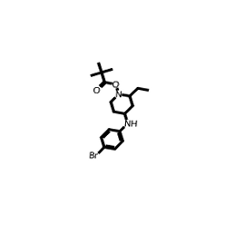 CCC1CC(Nc2ccc(Br)cc2)CCN1OC(=O)C(C)(C)C